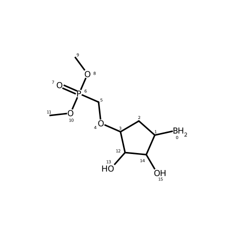 BC1CC(OCP(=O)(OC)OC)C(O)C1O